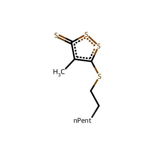 CCCCCCCSc1ssc(=S)c1C